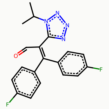 CC(C)n1nnnc1C(C=O)=C(c1ccc(F)cc1)c1ccc(F)cc1